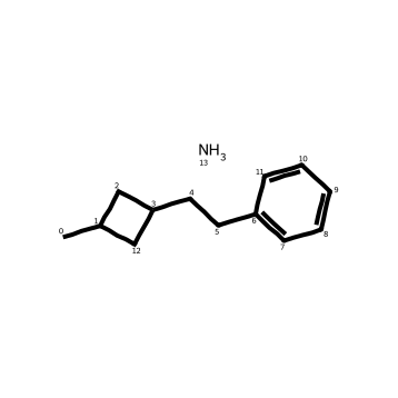 CC1CC(CCc2ccccc2)C1.N